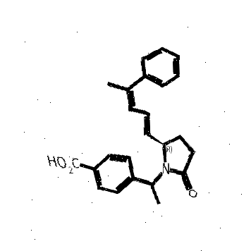 CC(=CC=C[C@H]1CCC(=O)N1C(C)c1ccc(C(=O)O)cc1)c1ccccc1